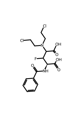 O=C(N[C@H](C(=O)O)C(F)C(C(=O)O)N(CCCl)CCCl)c1ccccc1